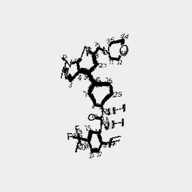 Cn1ncc2c(-c3ccc(NC(=O)Nc4cc(C(F)(F)F)ccc4F)cc3)cc(CN3CCOCC3)nc21